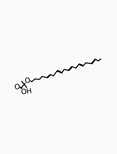 CCC=CCC=CCC=CCC=CCC=CCCCCOC(C)(C)C(=O)O